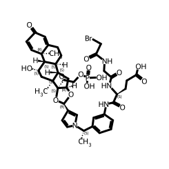 C[C@@H](c1cccc(NC(=O)[C@H](CCC(=O)O)NC(=O)CNC(=O)CBr)c1)n1ccc([C@@H]2O[C@@H]3C[C@H]4[C@@H]5CCC6=CC(=O)C=C[C@]6(C)[C@H]5[C@@H](O)C[C@]4(C)[C@]3(C(=O)COP(=O)(O)O)O2)c1